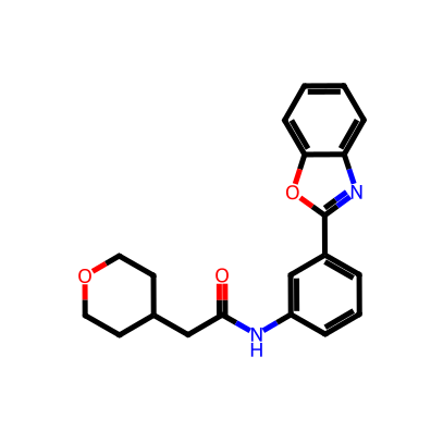 O=C(CC1CCOCC1)Nc1cccc(-c2nc3ccccc3o2)c1